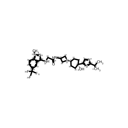 CC(C)c1ncc([C@]2(O)CC[C@H](N3CC(NC(=O)CNc4nn(C)c5ccc(C(F)(F)F)cc45)C3)CC2)s1